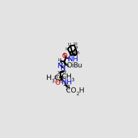 CC(C)COc1c(C(=O)NC2C3CC4CC(C3)CC2C4)cnn1/C=C/C(C)(C)C(=O)NCCC(=O)O